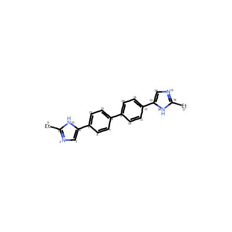 CCc1ncc(-c2ccc(-c3ccc(-c4cnc(CC)[nH]4)cc3)cc2)[nH]1